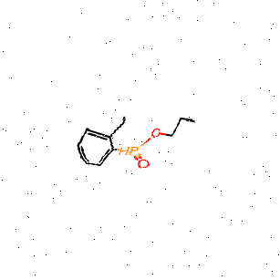 CCCO[PH](=O)c1ccccc1C